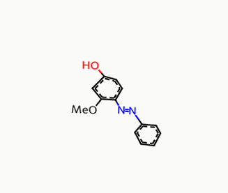 COc1cc(O)ccc1/N=N/c1ccccc1